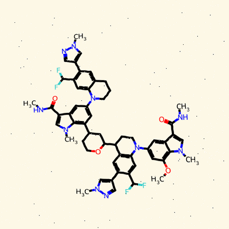 CNC(=O)c1cn(C)c2c(OC)cc(N3CCC(C4CC(c5cc(N6CCCc7cc(-c8cnn(C)c8)c(C(F)F)cc76)cc6c(C(=O)NC)cn(C)c56)CCO4)c4cc(-c5cnn(C)c5)c(C(F)F)cc43)cc12